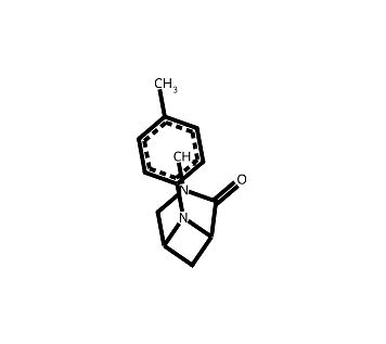 Cc1ccc(N2C3CC2C(=O)N(C)C3)cc1